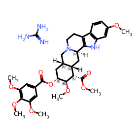 COC(=O)[C@H]1[C@H]2C[C@@H]3c4[nH]c5cc(OC)ccc5c4CCN3C[C@H]2C[C@@H](OC(=O)c2cc(OC)c(OC)c(OC)c2)[C@@H]1OC.N=C(N)N